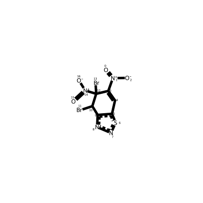 O=[N+]([O-])C1=Cc2snnc2C(Br)C1(Br)[N+](=O)[O-]